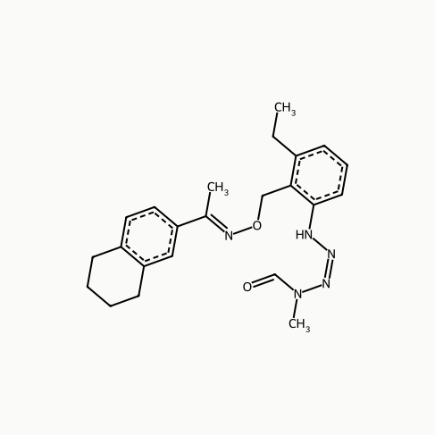 CCc1cccc(N/N=N\N(C)C=O)c1CON=C(C)c1ccc2c(c1)CCCC2